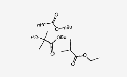 CC(C)COC(=O)C(C)(C)O.CCCCOC(=O)CCC.CCOC(=O)C(C)C